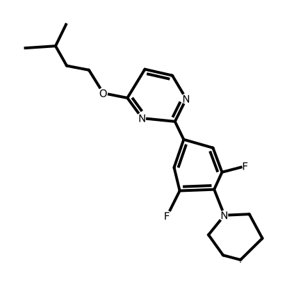 CC(C)CCOc1ccnc(-c2cc(F)c(N3CC[CH]CC3)c(F)c2)n1